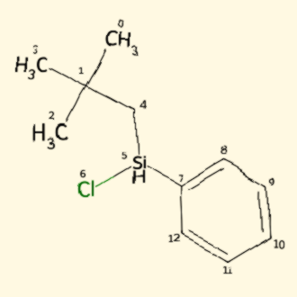 CC(C)(C)C[SiH](Cl)c1ccccc1